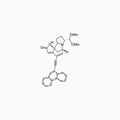 COC(OC)[C@H]1CC[C@H]2N1[C@@H]1C=C(C#Cc3cc4ccccc4c4ccccc34)C3=CC(=O)O[C@@]32C1